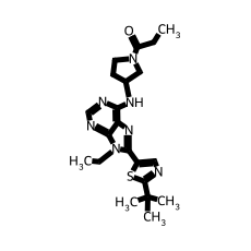 CCC(=O)N1CCC(Nc2ncnc3c2nc(-c2cnc(C(C)(C)C)s2)n3CC)C1